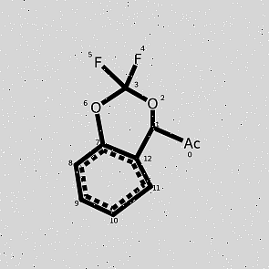 CC(=O)C1OC(F)(F)Oc2ccccc21